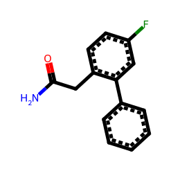 NC(=O)Cc1ccc(F)cc1-c1ccccc1